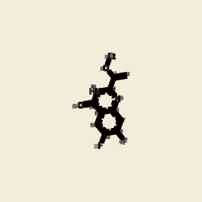 C=C(OCC)c1nc2cc(F)c(F)cc2c(=O)[nH]1